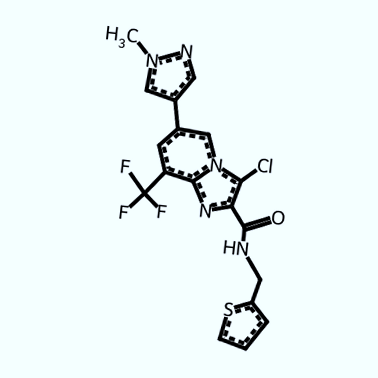 Cn1cc(-c2cc(C(F)(F)F)c3nc(C(=O)NCc4cccs4)c(Cl)n3c2)cn1